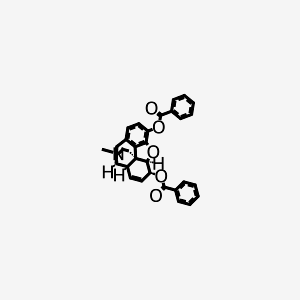 CN1CC[C@]23c4c5ccc(OC(=O)c6ccccc6)c4O[C@H]2[C@@H](OC(=O)c2ccccc2)C=C[C@H]3[C@H]1C5